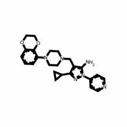 Nc1c(CN2CCN(c3cccc4c3OCCO4)CC2)c(C2CC2)nn1-c1ccncc1